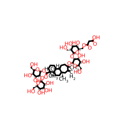 C=C1C[C@@]2(CC)CC[C@H]3[C@@](C)(CCC[C@@]3(C)C(=O)O[C@@H]3O[C@H](CO)[C@@H](O)[C@H](O)[C@H]3O[C@@H]3O[C@H](CO)[C@@H](O)[C@H](O)[C@H]3O)[C@@H]2CCC1(C)O[C@@H]1O[C@H](CO)[C@@H](O)[C@H](O)[C@H]1O[C@@H]1O[C@H](COC(=O)CC(=O)O)[C@@H](O)[C@H](O)[C@H]1CO